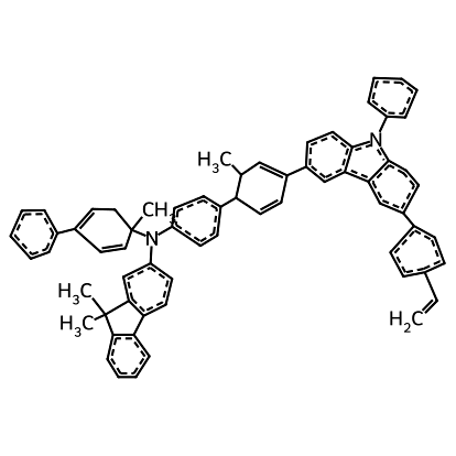 C=Cc1ccc(-c2ccc3c(c2)c2cc(C4=CC(C)C(c5ccc(N(c6ccc7c(c6)C(C)(C)c6ccccc6-7)C6(C)C=CC(c7ccccc7)=CC6)cc5)C=C4)ccc2n3-c2ccccc2)cc1